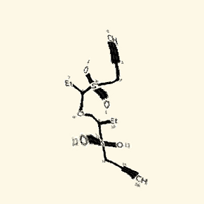 C#CCS(=O)(=O)C(CC)OC(CC)S(=O)(=O)CC#C